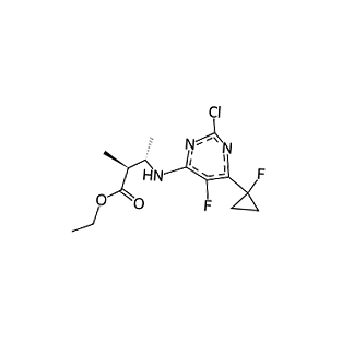 CCOC(=O)[C@@H](C)[C@H](C)Nc1nc(Cl)nc(C2(F)CC2)c1F